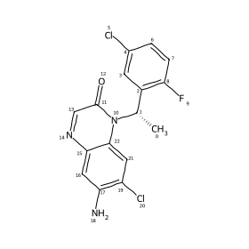 C[C@@H](c1cc(Cl)ccc1F)n1c(=O)cnc2cc(N)c(Cl)cc21